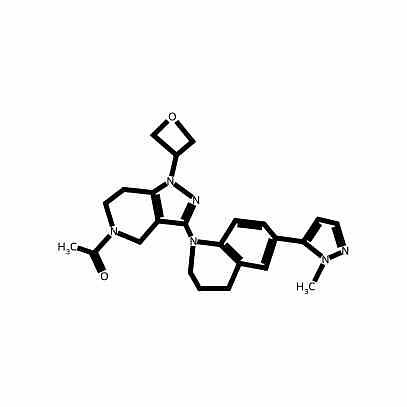 CC(=O)N1CCc2c(c(N3CCCc4cc(-c5ccnn5C)ccc43)nn2C2COC2)C1